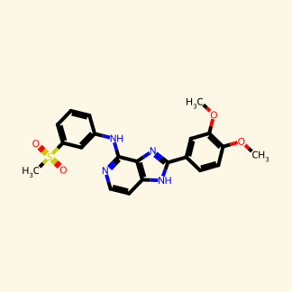 COc1ccc(-c2nc3c(Nc4cccc(S(C)(=O)=O)c4)nccc3[nH]2)cc1OC